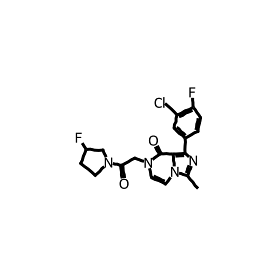 Cc1nc(-c2ccc(F)c(Cl)c2)c2c(=O)n(CC(=O)N3CCC(F)C3)ccn12